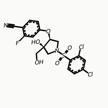 N#Cc1ccc(O[C@H]2CN(S(=O)(=O)c3ccc(Cl)cc3Cl)C[C@]2(O)CO)cc1F